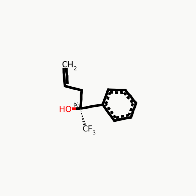 C=CC[C@](O)(c1ccccc1)C(F)(F)F